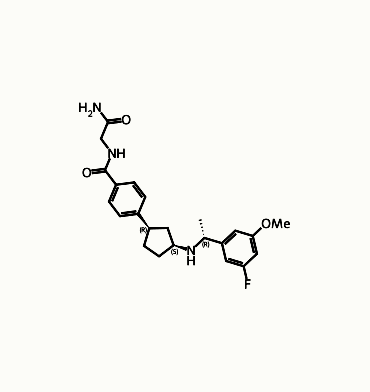 COc1cc(F)cc([C@@H](C)N[C@H]2CC[C@@H](c3ccc(C(=O)NCC(N)=O)cc3)C2)c1